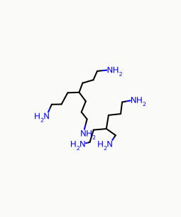 NCCCC(CCCN)CCCN.NCCCC(CN)CCN